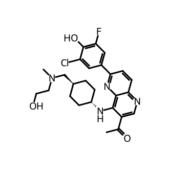 CC(=O)c1cnc2ccc(-c3cc(F)c(O)c(Cl)c3)nc2c1N[C@H]1CC[C@H](CN(C)CCO)CC1